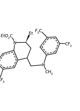 CCOC(=O)N1c2ccc(C(F)(F)F)cc2C(CN(C)c2cc(C(F)(F)F)cc(C(F)(F)F)c2)C[C@@H]1CC